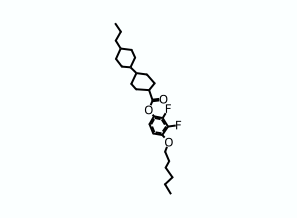 CCCCCCOc1ccc(OC(=O)C2CCC(C3CCC(CCC)CC3)CC2)c(F)c1F